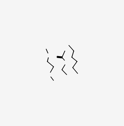 CCCCCC.CCOC(C)=O.COCCOC